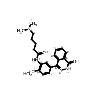 CN(C)CCCCC(=O)Nc1cc(-c2n[nH]c(=O)c3ccccc23)ccc1O.Cl